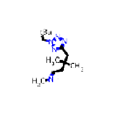 C/N=C/CC(C)(C)Cc1nnn(CC(C)(C)C)n1